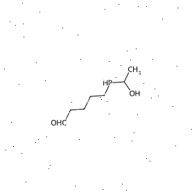 CC(O)PCCCCC=O